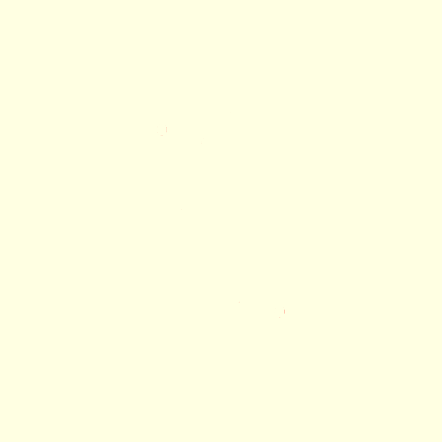 O=C(c1ccccc1)c1ccc(C(=O)c2ccccc2)c2c1CC2